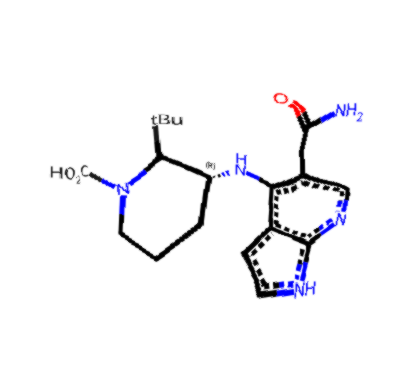 CC(C)(C)C1[C@H](Nc2c(C(N)=O)cnc3[nH]ccc23)CCCN1C(=O)O